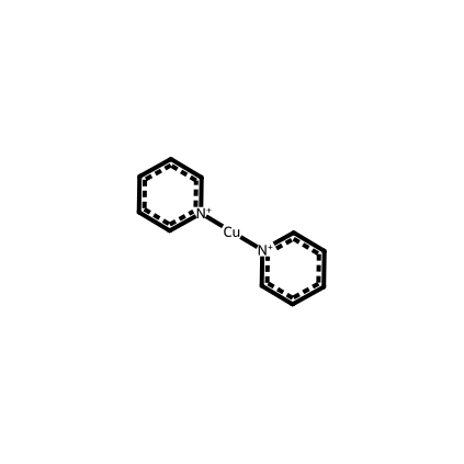 c1cc[n+]([Cu][n+]2ccccc2)cc1